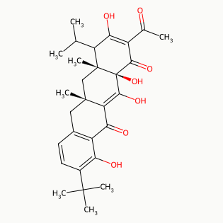 CC(=O)C1=C(O)C(C(C)C)[C@@]2(C)C[C@@]3(C)Cc4ccc(C(C)(C)C)c(O)c4C(=O)C3=C(O)[C@@]2(O)C1=O